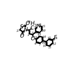 CC(CC(Oc1ccc(-c2cccc(F)c2)cc1)c1cccnc1)N1C(=O)CSC1=O